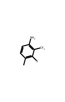 Cc1ccc(N)c(C(F)(F)F)c1F